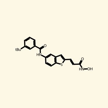 CC(C)(C)c1cccc(C(=O)Nc2ccc3sc(/C=C/C(=O)NO)cc3c2)c1